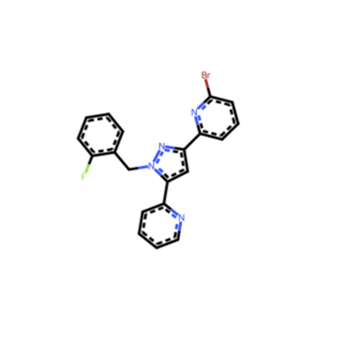 Fc1ccccc1Cn1nc(-c2cccc(Br)n2)cc1-c1ccccn1